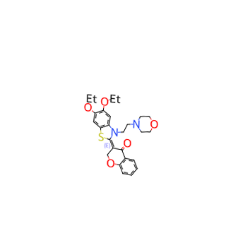 CCOc1cc2c(cc1OCC)N(CCN1CCOCC1)/C(=C1/COc3ccccc3C1=O)S2